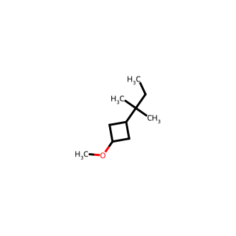 CCC(C)(C)C1CC(OC)C1